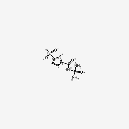 CS(=O)(=O)c1ccc(C(=O)NP(N)(N)=O)s1